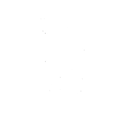 O=[N+]([O-])c1cccc2c(CC(F)(F)F)c(I)sc12